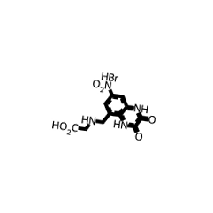 Br.O=C(O)CNCc1cc([N+](=O)[O-])cc2[nH]c(=O)c(=O)[nH]c12